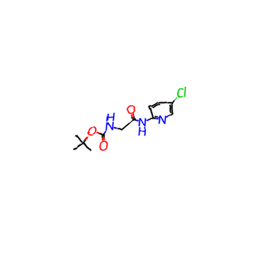 CC(C)(C)OC(=O)NCC(=O)Nc1ccc(Cl)cn1